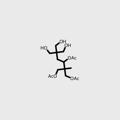 CC(=O)OCC(C)(COC(C)=O)C(CC(CO)(CO)CO)OC(C)=O